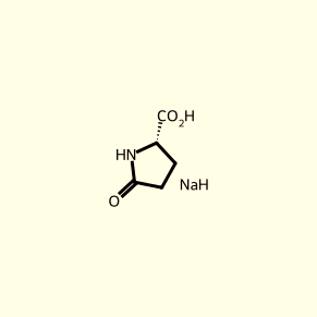 O=C1CC[C@@H](C(=O)O)N1.[NaH]